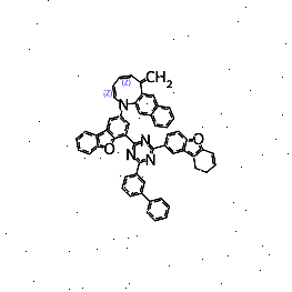 C=C1/C=C\C=C/N(c2cc(-c3nc(-c4cccc(-c5ccccc5)c4)nc(-c4ccc5oc6c(c5c4)CCC=C6)n3)c3oc4ccccc4c3c2)c2cc3ccccc3cc21